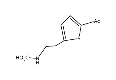 CC(=O)c1ccc(CCNC(=O)O)s1